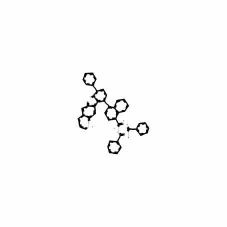 c1ccc(-c2nc(-c3ccccc3)nc(-c3ccc(-c4ccc(-c5ccccc5)c5oc6cc7cccnc7cc6c45)c4ccccc34)n2)cc1